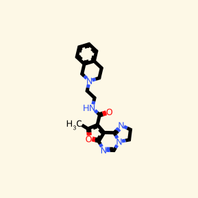 Cc1oc2c(c1C(=O)NCCN1CCc3ccccc3C1)C1=NCCN1C=N2